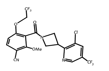 COc1c(C#N)ccc(OCC(F)(F)F)c1C(=O)N1CC(c2ncc(C(F)(F)F)cc2Cl)C1